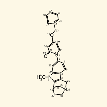 Cn1c2c(c3ccc(-n4ccc(OCc5ccccc5)cc4=O)cc31)CN1CCC2CC1